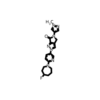 Cn1cc(N2Cc3cn(-c4ccc(N5CCCC(F)CC5)nc4)nc3C2=O)cn1